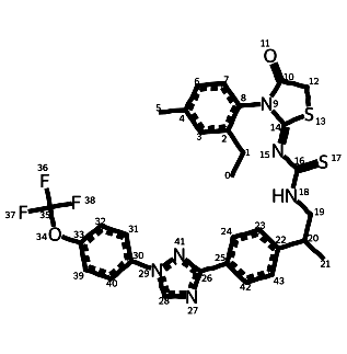 CCc1cc(C)ccc1N1C(=O)CS/C1=N\C(=S)NCC(C)c1ccc(-c2ncn(-c3ccc(OC(F)(F)F)cc3)n2)cc1